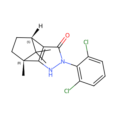 CC1(C)[C@@H]2CC[C@@]1(C)c1[nH]n(-c3c(Cl)cccc3Cl)c(=O)c12